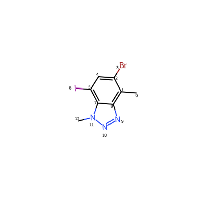 Cc1c(Br)cc(I)c2c1nnn2C